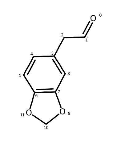 O=[C]Cc1ccc2c(c1)OCO2